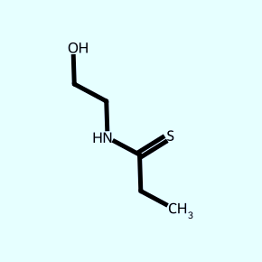 CCC(=S)NCCO